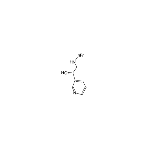 CCCNC[C@H](O)c1cccnc1